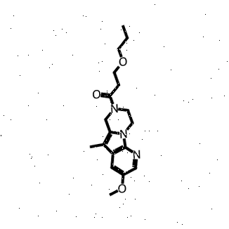 CCCOCCC(=O)N1CCn2c(c(C)c3cc(OC)cnc32)C1